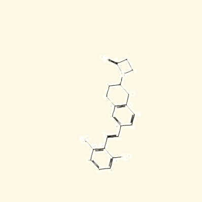 O=C1CCN1C1CCc2cc(C=Cc3c(Cl)cccc3Cl)ccc2C1